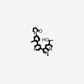 Cc1cc(N2CCCC2=O)ccc1-c1cncc(-c2cn(C)c3ncc([C@H](C)O)cc23)c1